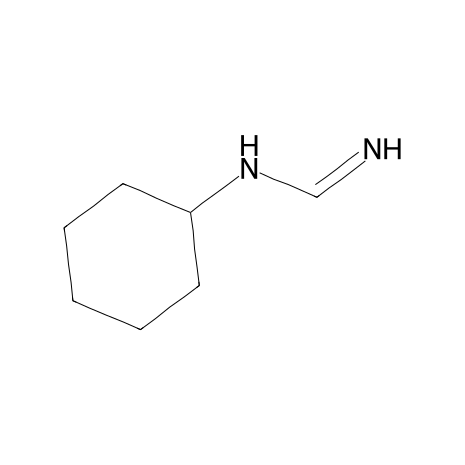 N=CNC1CCCCC1